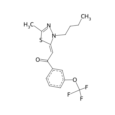 CCCCN1N=C(C)S/C1=C\C(=O)c1cccc(OC(F)(F)F)c1